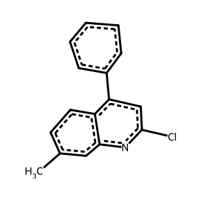 Cc1ccc2c(-c3ccccc3)cc(Cl)nc2c1